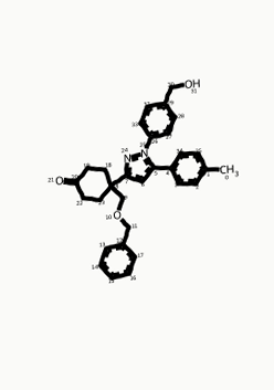 Cc1ccc(-c2cc(C3(COCc4ccccc4)CCC(=O)CC3)nn2-c2ccc(CO)cc2)cc1